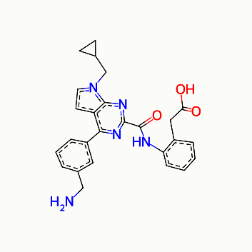 NCc1cccc(-c2nc(C(=O)Nc3ccccc3CC(=O)O)nc3c2ccn3CC2CC2)c1